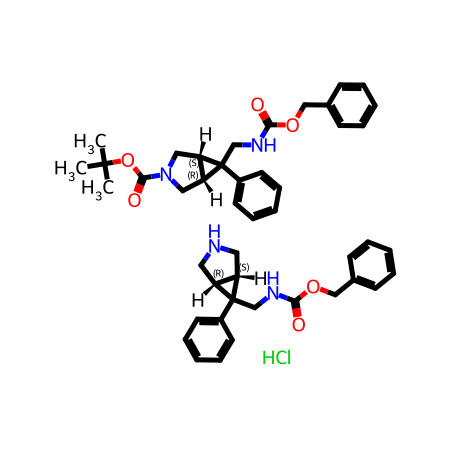 CC(C)(C)OC(=O)N1C[C@@H]2[C@H](C1)C2(CNC(=O)OCc1ccccc1)c1ccccc1.Cl.O=C(NCC1(c2ccccc2)[C@@H]2CNC[C@@H]21)OCc1ccccc1